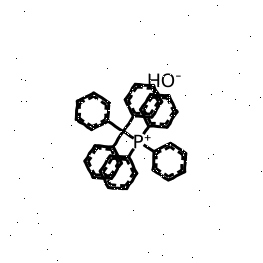 [OH-].c1ccc(C(c2ccccc2)(c2ccccc2)[P+](c2ccccc2)(c2ccccc2)c2ccccc2)cc1